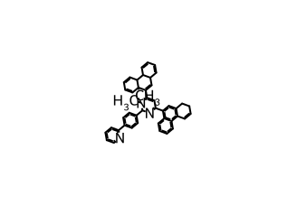 CN1C(C2=CC3C=CC=CC3C3C=CC=CC23C)=CC(c2cc3c(c4ccccc24)C=CCC3)=NC1c1ccc(-c2ccccn2)cc1